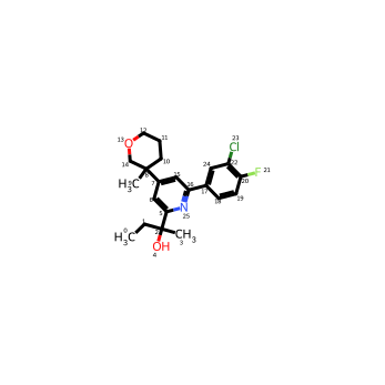 CCC(C)(O)c1cc(C2(C)CCCOC2)cc(-c2ccc(F)c(Cl)c2)n1